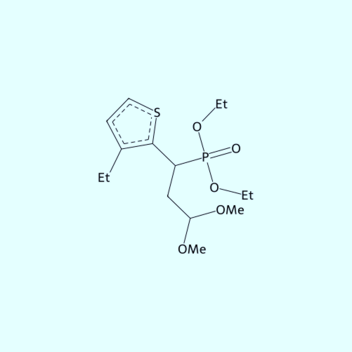 CCOP(=O)(OCC)C(CC(OC)OC)c1sccc1CC